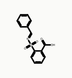 O=C(O)c1ccccc1S(=O)(=O)N=Cc1ccccc1